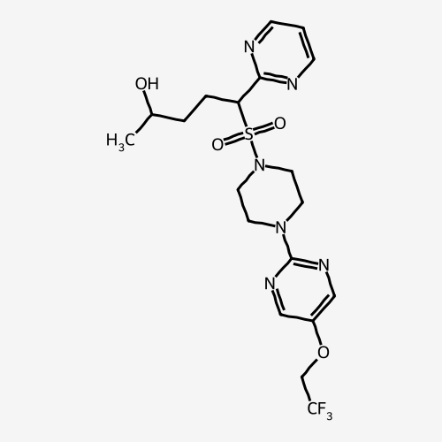 CC(O)CCC(c1ncccn1)S(=O)(=O)N1CCN(c2ncc(OCC(F)(F)F)cn2)CC1